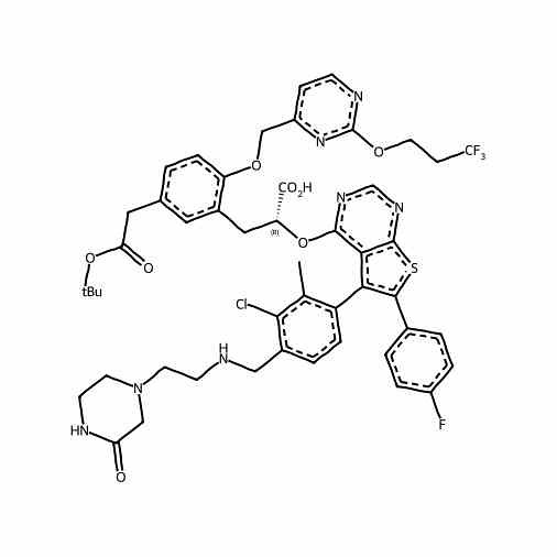 Cc1c(-c2c(-c3ccc(F)cc3)sc3ncnc(O[C@H](Cc4cc(CC(=O)OC(C)(C)C)ccc4OCc4ccnc(OCCC(F)(F)F)n4)C(=O)O)c23)ccc(CNCCN2CCNC(=O)C2)c1Cl